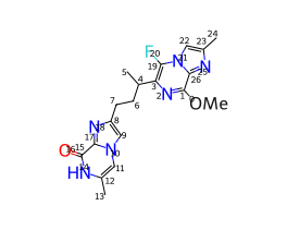 COc1nc(C(C)CCc2cn3cc(C)[nH]c(=O)c3n2)c(F)n2cc(C)nc12